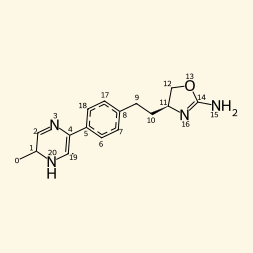 CC1C=NC(c2ccc(CC[C@H]3COC(N)=N3)cc2)=[C]N1